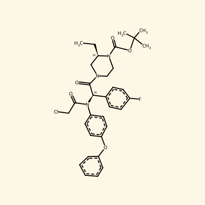 CC[C@@H]1CN(C(=O)[C@@H](c2ccc(F)cc2)N(C(=O)CCl)c2ccc(Oc3ccccc3)cc2)CCN1C(=O)OC(C)(C)C